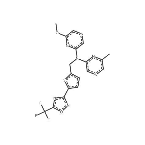 COc1cncc(N(Cc2ccc(-c3noc(C(F)(F)F)n3)s2)c2cncc(C)n2)n1